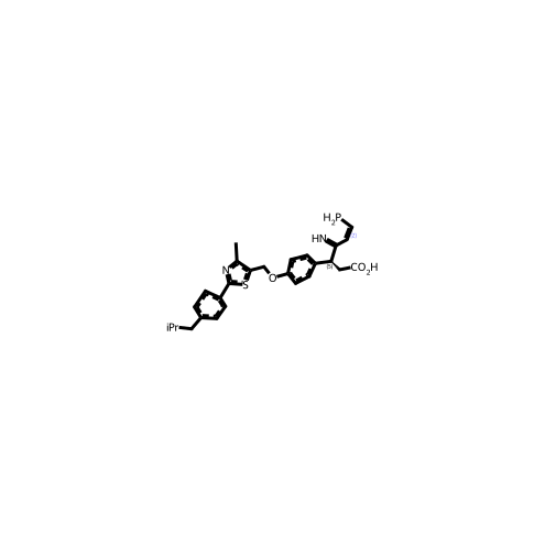 Cc1nc(-c2ccc(CC(C)C)cc2)sc1COc1ccc([C@H](CC(=O)O)C(=N)/C=C\P)cc1